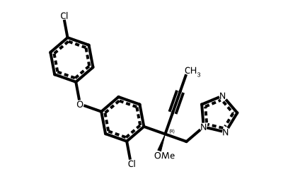 CC#C[C@@](Cn1cncn1)(OC)c1ccc(Oc2ccc(Cl)cc2)cc1Cl